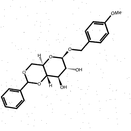 COc1ccc(CO[C@@H]2O[C@@H]3COC(c4ccccc4)O[C@H]3[C@H](O)[C@H]2O)cc1